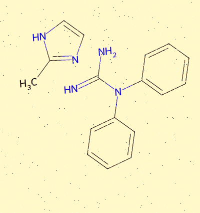 Cc1ncc[nH]1.N=C(N)N(c1ccccc1)c1ccccc1